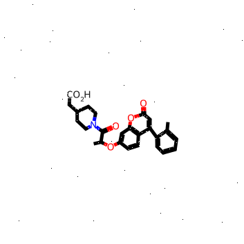 Cc1ccccc1-c1cc(=O)oc2cc(OC(C)C(=O)N3CCC(CC(=O)O)CC3)ccc12